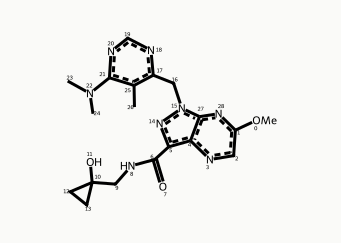 COc1cnc2c(C(=O)NCC3(O)CC3)nn(Cc3ncnc(N(C)C)c3C)c2n1